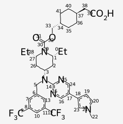 CC[C@@H]1C[C@H](N(Cc2cc(C(F)(F)F)cc(C(F)(F)F)c2)c2ncc(-c3ccn(C)c3)cn2)C[C@H](CC)N1C(=O)OC[C@H]1CC[C@H](CC(=O)O)CC1